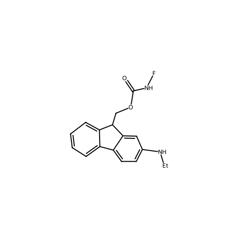 CCNc1ccc2c(c1)C(COC(=O)NF)c1ccccc1-2